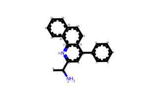 CC(N)c1cc(-c2ccccc2)c2ccc3ccccc3c2n1